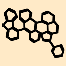 c1ccc(-c2coc3c2ccc2cccc(-c4c5ccccc5c(-c5cccc6oc7ccccc7c56)c5ccccc45)c23)cc1